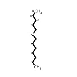 CCCCCCCOCCCCC